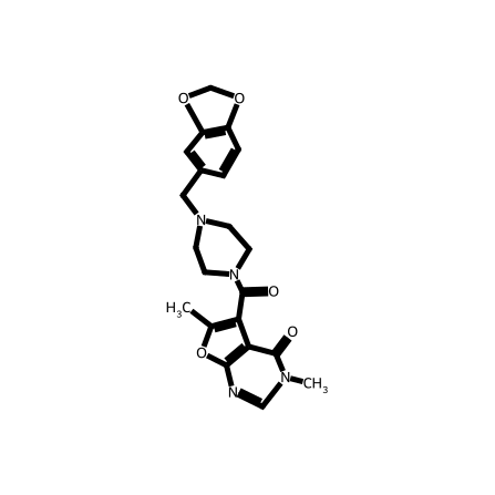 Cc1oc2ncn(C)c(=O)c2c1C(=O)N1CCN(Cc2ccc3c(c2)OCO3)CC1